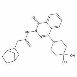 O=C(CC1CC2CCC1C2)Nn1nc(N2CCS(O)(O)CC2)c2ccccc2c1=O